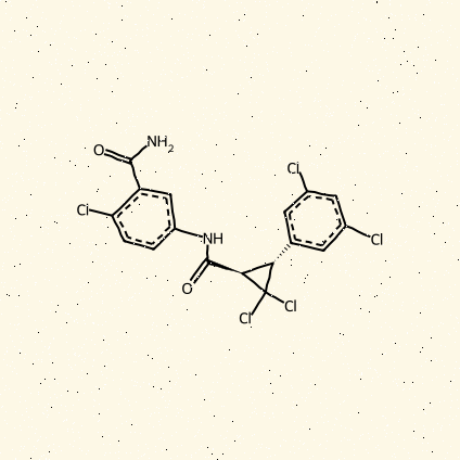 NC(=O)c1cc(NC(=O)[C@H]2[C@H](c3cc(Cl)cc(Cl)c3)C2(Cl)Cl)ccc1Cl